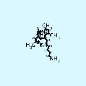 CC1=CC(C)=[N+](B(F)F)/C1=C(/CCCCCCN)c1c(C)cc(C)n1C